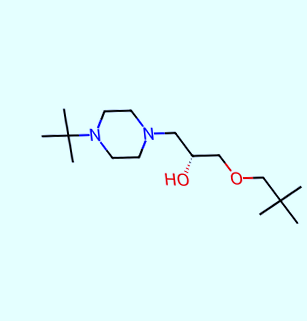 CC(C)(C)COC[C@H](O)CN1CCN(C(C)(C)C)CC1